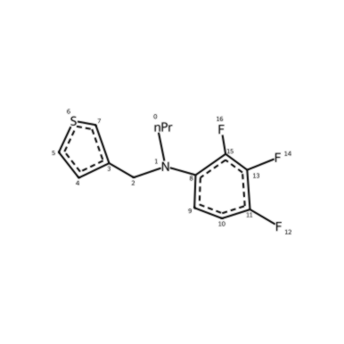 CCCN(Cc1ccsc1)c1ccc(F)c(F)c1F